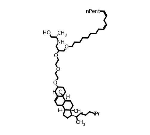 CCCCC/C=C\C/C=C\CCCCCCCCOCC(CN[C@@H](C)CO)OCCOCCO[C@H]1CCC2(C)C(=CCC3[C@@H]2CC[C@]2(C)[C@@H](C(C)CCCC(C)C)CC[C@@H]32)C1